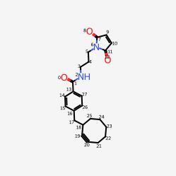 O=C(NCCCN1C(=O)C=CC1=O)c1ccc(CC2C#CCCCCC2)cc1